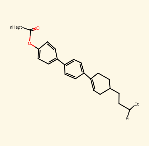 CCCCCCCC(=O)Oc1ccc(-c2ccc(C3=CCC(CCC(CC)CC)CC3)cc2)cc1